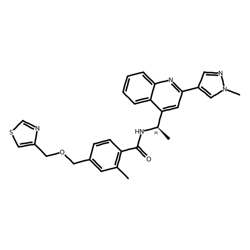 Cc1cc(COCc2cscn2)ccc1C(=O)N[C@H](C)c1cc(-c2cnn(C)c2)nc2ccccc12